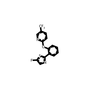 Fc1cnc(-c2ccccc2Oc2ccc(C(F)(F)F)cn2)s1